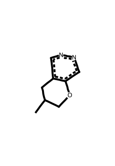 CC1COc2cnncc2C1